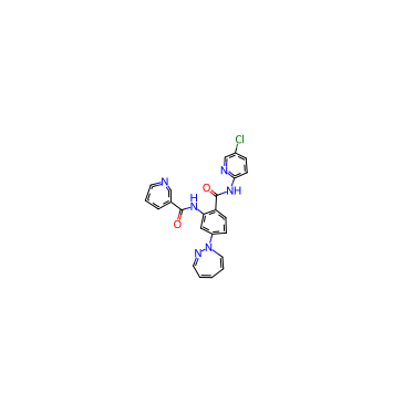 O=C(Nc1cc(N2C=CC=CC=N2)ccc1C(=O)Nc1ccc(Cl)cn1)c1cccnc1